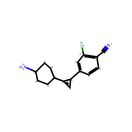 N#Cc1ccc(C2C=C2C2CCC(N)CC2)cc1Cl